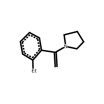 C=C(c1ccccc1CC)N1CCCC1